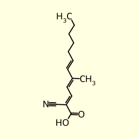 CCCCC/C=C/C(C)=C/C=C(\C#N)C(=O)O